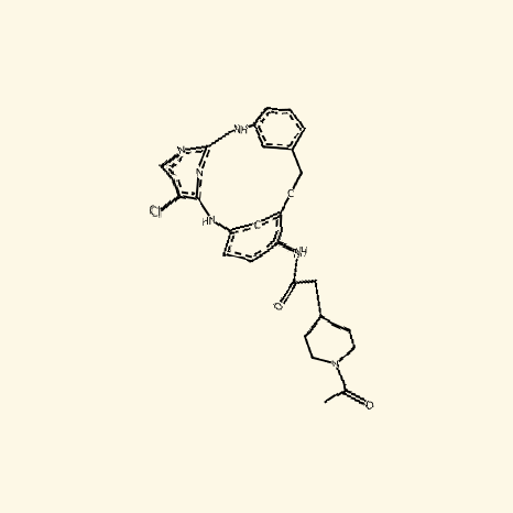 CC(=O)N1CCC(CC(=O)Nc2ccc3cc2CCc2cccc(c2)Nc2ncc(Cl)c(n2)N3)CC1